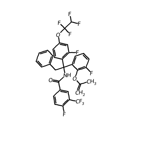 C=C(C)Oc1c(F)cccc1C(Cc1ccccc1)(NC(=O)c1ccc(F)c(C(F)(F)F)c1)c1ccc(OC(F)(F)C(F)F)cc1F